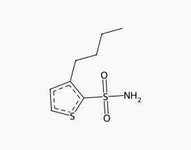 CCCCc1ccsc1S(N)(=O)=O